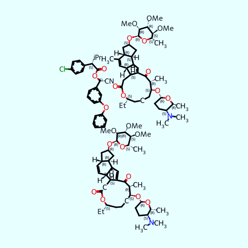 CC(C)[C@H](C(=O)O[C@H](C#N)c1cccc(Oc2ccccc2)c1)c1ccc(Cl)cc1.CC[C@H]1CCC[C@H](O[C@H]2CC[C@H](N(C)C)[C@@H](C)O2)[C@@H](C)C(=O)C2=C[C@@H]3[C@@H](C=C(C)[C@@H]4C[C@@H](O[C@@H]5O[C@@H](C)[C@H](OC)[C@@H](OC)[C@H]5OC)C[C@@H]34)[C@@H]2CC(=O)O1.CC[C@H]1CCC[C@H](O[C@H]2CC[C@H](N(C)C)[C@@H](C)O2)[C@@H](C)C(=O)C2=C[C@@H]3[C@@H](C=C[C@@H]4C[C@@H](O[C@@H]5O[C@@H](C)[C@H](OC)[C@@H](OC)[C@H]5OC)C[C@@H]34)[C@@H]2CC(=O)O1